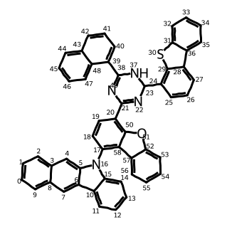 c1ccc2cc3c(cc2c1)c1ccccc1n3-c1ccc(C2=NC(c3cccc4c3sc3ccccc34)NC(c3cccc4ccccc34)=N2)c2oc3ccccc3c12